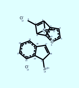 CC1=C2c3ccoc3C1[Si]2(C)C.[Cl-].[Cl-].[Zr+2][CH]1C=Cc2ccccc21